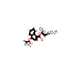 CC(I)C(=O)Oc1ccc(C(=O)OC(CS(=O)(=O)O)C(F)(F)F)c2ccccc12